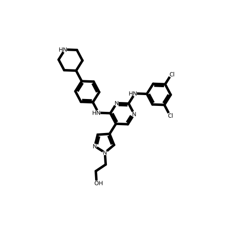 OCCn1cc(-c2cnc(Nc3cc(Cl)cc(Cl)c3)nc2Nc2ccc(C3CCNCC3)cc2)cn1